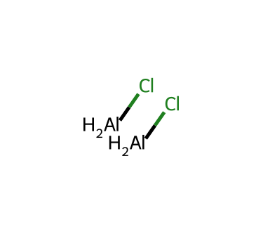 [AlH2][Cl].[AlH2][Cl]